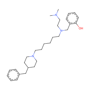 CN(C)CCN(CCCCCCN1CCC(Cc2ccccc2)CC1)Cc1ccccc1O